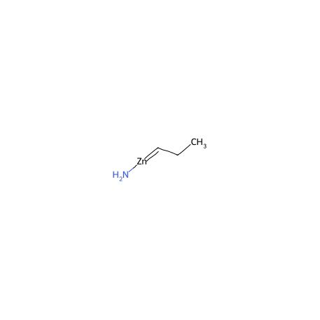 CC[CH]=[Zn][NH2]